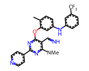 CNc1nc(-c2ccncc2)nc(Oc2cc(Nc3cccc(C(F)(F)F)c3)ccc2C)c1C=N